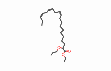 CC/C=C\C/C=C\C/C=C\CCCCCCCCC(OCCC)C(=O)OCC